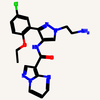 CCOc1ccc(Cl)cc1-c1nn(CCN)cc1NC(=O)c1cnn2cccnc12